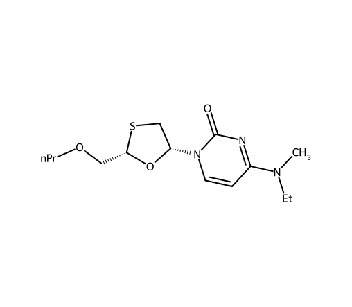 CCCOC[C@H]1O[C@@H](n2ccc(N(C)CC)nc2=O)CS1